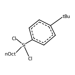 CCCCCCCC[Si](Cl)(Cl)c1ccc(C(C)(C)C)cc1